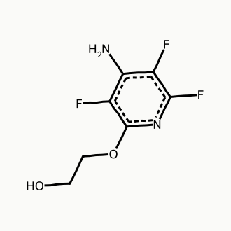 Nc1c(F)c(F)nc(OCCO)c1F